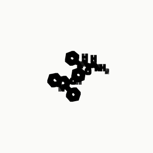 NNC(=O)NN(c1ccccc1)c1ccccc1.Oc1cc2ccccc2nc1-c1ccccc1